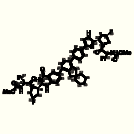 COC(=O)N[C@H](C(=O)N1C[C@@H](F)C[C@H]1c1nc(-c2ccc(-c3ccc(-c4ccc5c(c4)C(=O)NC([C@@H]4C[C@H](F)CN4C(=O)[C@@H](NC(=O)OC)C(C)C)N5)c4c3CC3(CCCCC3)C4)cc2)c[nH]1)C(C)C